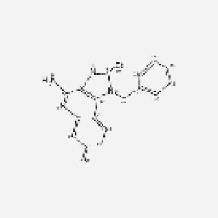 C=C/C=c1/nc(N)c2nc(CC)n(Cc3ccccc3)c2/c1=C/C